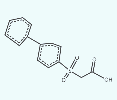 O=C(O)CS(=O)(=O)c1ccc(-c2ccccc2)cc1